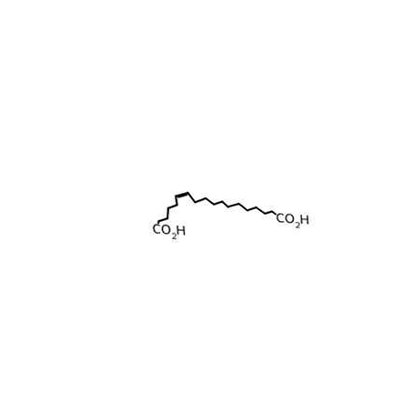 O=C(O)CCCC/C=C\CCCCCCCCCCC(=O)O